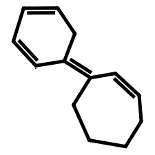 [C]1=CC=CCC1=C1C=CCCCC1